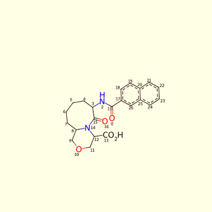 O=C(NC1CCCCC2COCC(C(=O)O)N2C1=O)c1ccc2ccccc2c1